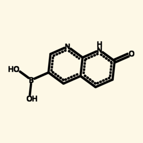 O=c1ccc2cc(B(O)O)cnc2[nH]1